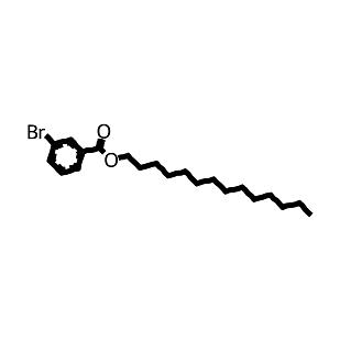 CCCCCCCCCCCCCCOC(=O)c1cccc(Br)c1